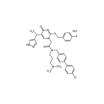 CC(c1cn[nH]c1)c1cn(CC(=O)N(CCCN(C)C)Cc2ccc(-c3ccc(Cl)cc3)cc2)c(SCc2ccc(F)cc2)nc1=O.Cl